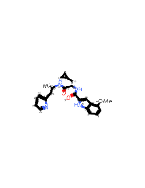 COc1cccc2[nH]c(C(=O)N[C@@H](CC3CC3)C(=O)N[C@H](C#N)Cc3ccccn3)cc12